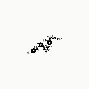 CCN(CCOC)C(=O)c1ccc(Nc2nc(-c3ccc(C)c(NC(=O)c4ccc(C(C)(C)C)cc4)c3)cn(C)c2=O)cc1N